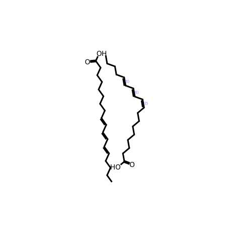 CCCC/C=C/C=C/C=C\CCCCCCCC(=O)O.CCCCC=CC=CC=CCCCCCCCC(=O)O